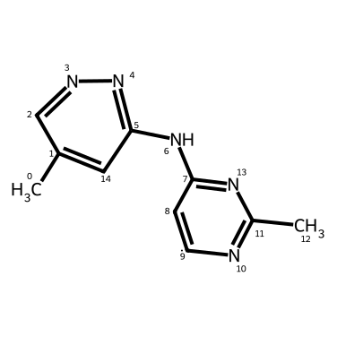 Cc1cnnc(Nc2c[c]nc(C)n2)c1